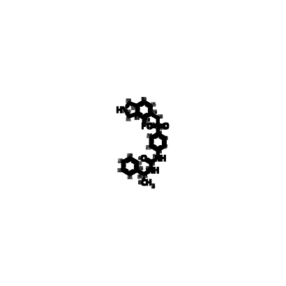 C[C@@H](NC(=O)Nc1ccc(S(=O)(=O)Cc2ccc3c(c2F)CNC3)cc1)c1ccccc1